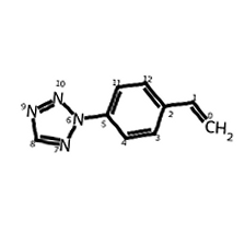 C=Cc1ccc(-n2ncnn2)cc1